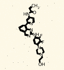 C=CC(=O)Nc1ccnc(-c2cccc3cnc(Nc4ccc(N5CCN(CCO)CC5)c(F)c4F)nc23)c1